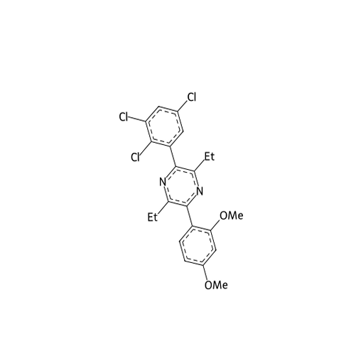 CCc1nc(-c2cc(Cl)cc(Cl)c2Cl)c(CC)nc1-c1ccc(OC)cc1OC